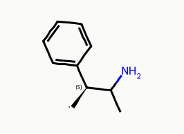 [CH2][C@@H](c1ccccc1)C(C)N